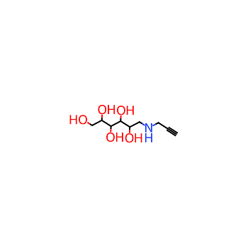 C#CCNCC(O)C(O)C(O)C(O)CO